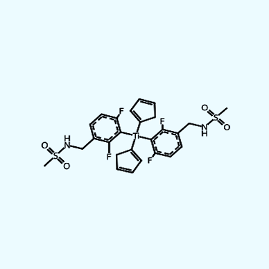 CS(=O)(=O)NCc1ccc(F)[c]([Ti]([C]2=CC=CC2)([C]2=CC=CC2)[c]2c(F)ccc(CNS(C)(=O)=O)c2F)c1F